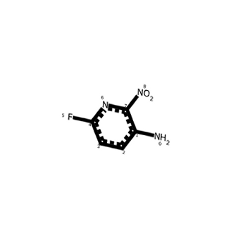 Nc1ccc(F)nc1[N+](=O)[O-]